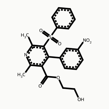 Cc1nc(C)c(S(=O)(=O)c2ccccc2)c(-c2cccc([N+](=O)[O-])c2)c1C(=O)OCCO